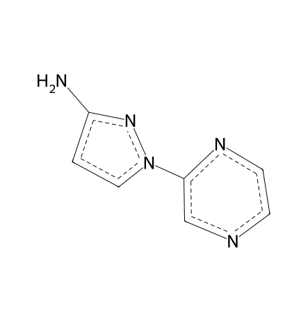 Nc1ccn(-c2cnccn2)n1